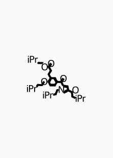 CC(C)CCOC(=O)CCc1cc(C(=O)c2cc(C(=O)CC(C)C)cn2CCC(C)C)ccc1OCCC(C)C